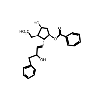 O=C(O)C[C@@H]1[C@@H](C=CC(O)Cc2ccccc2)[C@H](OC(=O)c2ccccc2)C[C@@H]1O